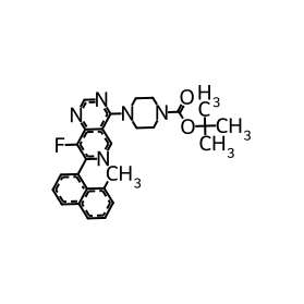 Cc1cccc2cccc(-c3ncc4c(N5CCN(C(=O)OC(C)(C)C)CC5)ncnc4c3F)c12